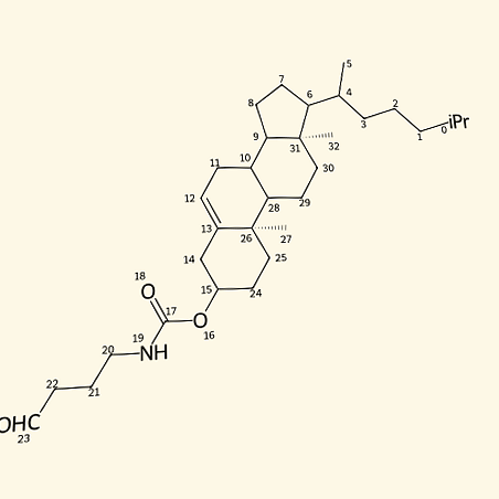 CC(C)CCCC(C)C1CCC2C3CC=C4CC(OC(=O)NCCCC=O)CC[C@]4(C)C3CC[C@]12C